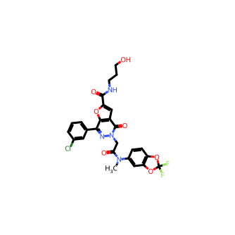 CN(C(=O)Cn1nc(-c2cccc(Cl)c2)c2oc(C(=O)NCCCO)cc2c1=O)c1ccc2c(c1)OC(F)(F)O2